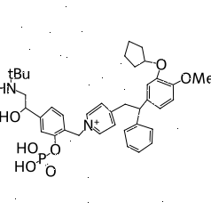 COc1ccc(C(Cc2cc[n+](Cc3ccc(C(O)CNC(C)(C)C)cc3OP(=O)(O)O)cc2)c2ccccc2)cc1OC1CCCC1